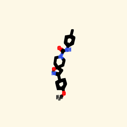 Cc1ccc(NC(=O)N2CCC3(CC2)CC(c2ccc(OC(F)(F)F)cc2)=NO3)cc1